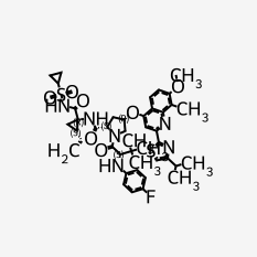 C=C[C@@H]1C[C@]1(NC(=O)[C@@H]1C[C@@H](Oc2cc(-c3nc(C(C)C)cs3)nc3c(C)c(OC)ccc23)CN1C(=O)[C@@H](Nc1ccc(F)cc1)C(C)(C)C)C(=O)NS(=O)(=O)C1CC1